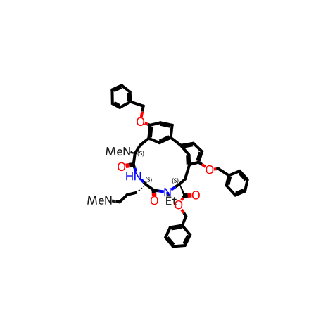 CCN1C(=O)[C@H](CCCNC)NC(=O)[C@@H](NC)Cc2cc(ccc2OCc2ccccc2)-c2ccc(OCc3ccccc3)c(c2)C[C@H]1C(=O)OCc1ccccc1